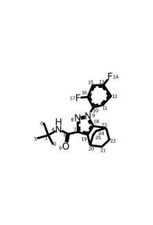 CC(C)(C)NC(=O)c1nn(-c2ccc(F)cc2F)c2c1C1CCC2CC1